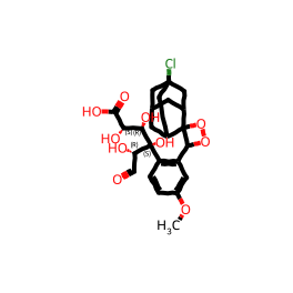 COc1ccc([C@](O)([C@H](O)[C@H](O)C(=O)O)[C@@H](O)C=O)c(C2OOC23C2CC4CC3CC(Cl)(C4)C2)c1